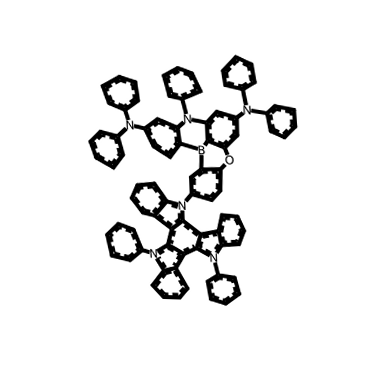 c1ccc(N(c2ccccc2)c2ccc3c(c2)N(c2ccccc2)c2cc(N(c4ccccc4)c4ccccc4)cc4c2B3c2cc(-n3c5ccccc5c5c6c(c7ccccc7n6-c6ccccc6)c6c(c7ccccc7n6-c6ccccc6)c53)ccc2O4)cc1